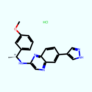 COc1cccc([C@@H](C)Nc2cnc3cc(-c4cn[nH]c4)ccc3n2)c1.Cl